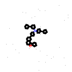 c1ccc(-c2ccc(N(c3ccc(-c4ccc5ccc6oc7ccccc7c6c5c4)cc3)c3cccc(-c4ccccc4)c3)cc2)cc1